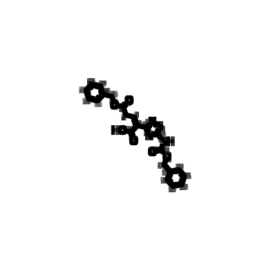 O=C(CC=C(C(=O)O)c1nsc(NC(=O)OCc2ccccc2)n1)OCc1ccccc1